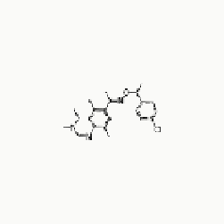 CCN(C)/C=N\c1cc(C)c(/C(C)=N/OC(C)c2ccc(Cl)cc2)cc1C